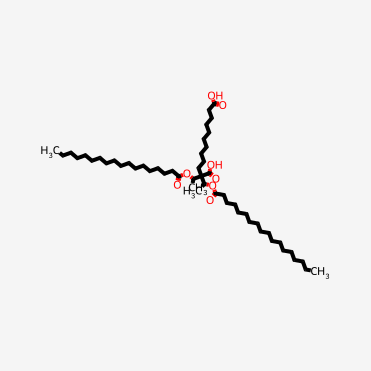 CCCCCCCCCCCCCCCCCC(=O)OC(C)C(CCCCCCCCCC(=O)O)(C(=O)O)C(C)OC(=O)CCCCCCCCCCCCCCCCC